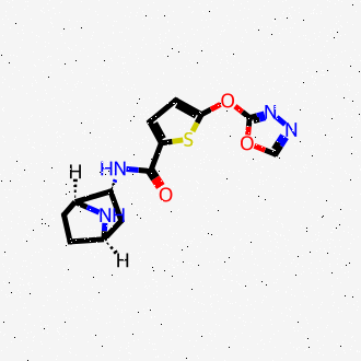 O=C(N[C@@H]1C[C@H]2CC[C@@H]1N2)c1ccc(Oc2nnco2)s1